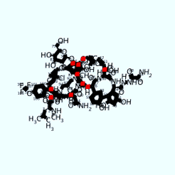 CN[C@H](CC(C)C)C(=O)N[C@H]1C(=O)N[C@@H](CC(N)=O)C(=O)N[C@H]2C(=O)N[C@H]3C(=O)N[C@H](C(=O)N[C@@H](C(=O)NNC(=O)C(N)=O)c4cc(O)cc(O)c4-c4cc3ccc4O)[C@H](O)c3ccc(c(Cl)c3)Oc3cc2cc(c3O[C@@H]2O[C@H](CO)[C@@H](O)[C@H](O)[C@H]2O[C@H]2C[C@](C)(NCC3CN(C(=O)Nc4ccc(OC(F)(F)F)cc4)CCO3)[C@H](O)[C@H](C)O2)Oc2ccc(cc2Cl)[C@H]1O